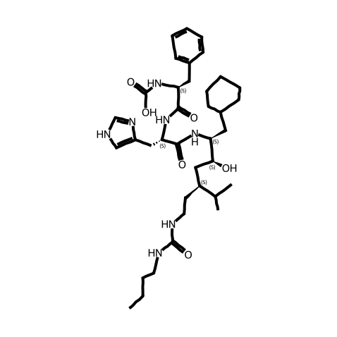 CCCCNC(=O)NCC[C@@H](C[C@H](O)[C@H](CC1CCCCC1)NC(=O)[C@H](Cc1c[nH]cn1)NC(=O)[C@H](Cc1ccccc1)NC(=O)O)C(C)C